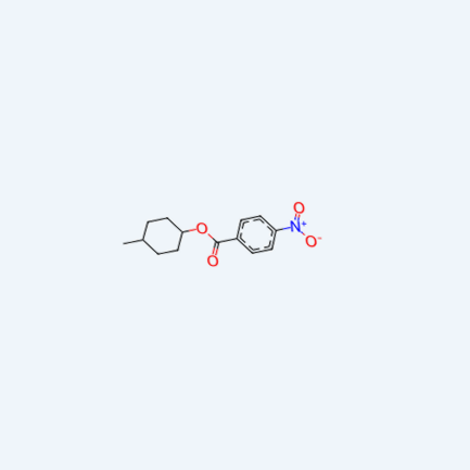 CC1CCC(OC(=O)c2ccc([N+](=O)[O-])cc2)CC1